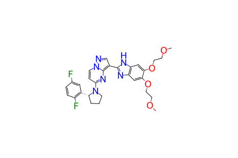 COCCOc1cc2nc(-c3cnn4ccc(N5CCC[C@@H]5c5cc(F)ccc5F)nc34)[nH]c2cc1OCCOC